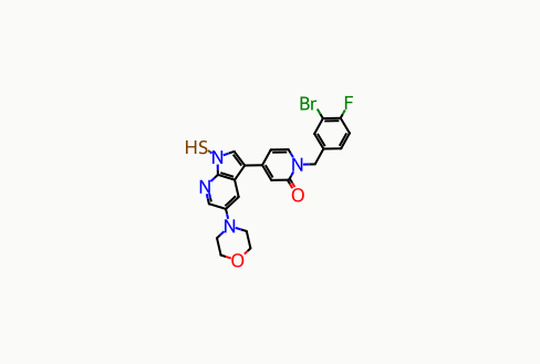 O=c1cc(-c2cn(S)c3ncc(N4CCOCC4)cc23)ccn1Cc1ccc(F)c(Br)c1